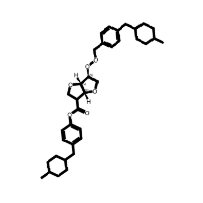 CC1CCC(Cc2ccc(COO[C@H]3CO[C@@H]4C(C(=O)Oc5ccc(CC6CCC(C)CC6)cc5)CO[C@H]34)cc2)CC1